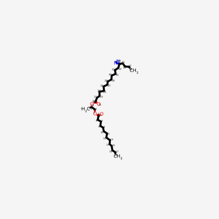 [CH2]C(COC(=O)CCCCCCCCCCCCC)OC(=O)CCCCCCCCCCCCC1(CCCC)N=N1